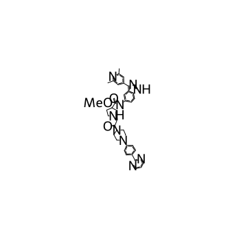 CO[C@@]1(C(=O)Nc2ccc3[nH]nc(-c4cc(C)nc(C)c4)c3c2)CCN(CC(=O)N2CCN(c3ccc(-c4ncccn4)cc3)CC2)C1